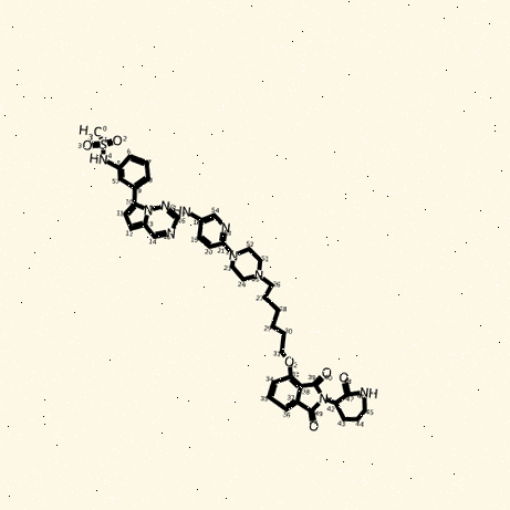 CS(=O)(=O)Nc1cccc(-c2ccc3cnc(Nc4ccc(N5CCN(CCCCCCOc6cccc7c6C(=O)N(C6CCCNC6=O)C7=O)CC5)nc4)nn23)c1